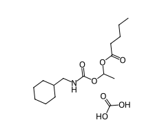 CCCCC(=O)OC(C)OC(=O)NCC1CCCCC1.O=C(O)O